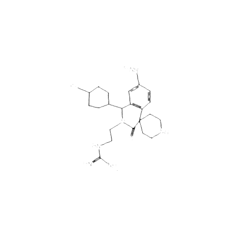 CC(=O)Nc1ccc2c(c1)C(C1CCC(C(C)C)CC1)N(CCNC(=N)N)C(=O)C21CCNCC1